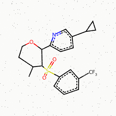 CC1CCOC(c2ccc(C3CC3)cn2)C1S(=O)(=O)c1cccc(C(F)(F)F)c1